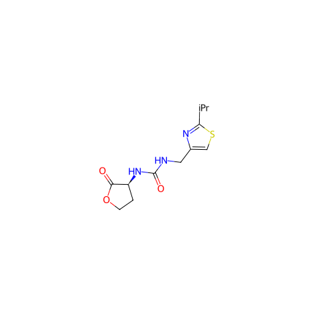 CC(C)c1nc(CNC(=O)N[C@H]2CCOC2=O)cs1